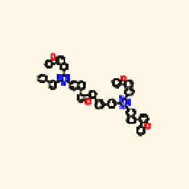 c1ccc(-c2cccc(-c3nc(-c4ccc5c(-c6cccc7oc8c(-c9cccc(-c%10ccc(-c%11nc(-c%12ccc%13c(-c%14cccc%15oc%16ccccc%16c%14%15)cccc%13c%12)nc(-c%12ccc%13ccc%14oc%15ccccc%15c%14c%13c%12)n%11)cc%10)c9)cccc8c67)cccc5c4)nc(-c4ccc5ccc6oc7ccccc7c6c5c4)n3)c2)cc1